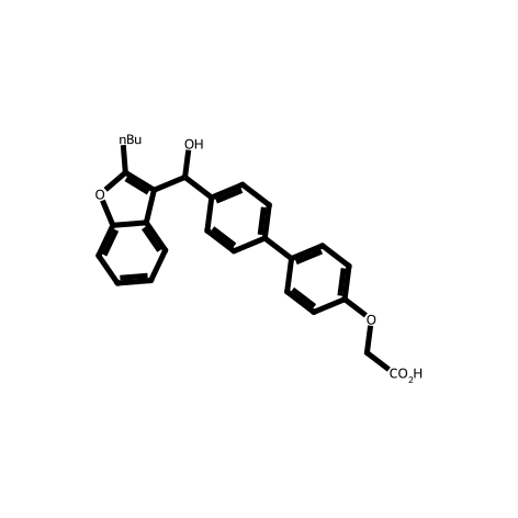 CCCCc1oc2ccccc2c1C(O)c1ccc(-c2ccc(OCC(=O)O)cc2)cc1